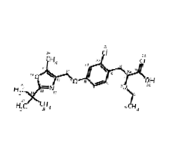 CCO[C@@H](Cc1ccc(OCc2nc(C(C)(C)C)oc2C)cc1Cl)C(=O)O